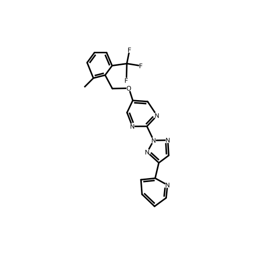 Cc1cccc(C(F)(F)F)c1COc1cnc(-n2ncc(-c3ccccn3)n2)nc1